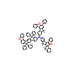 CC1(C)c2cc(N(c3ccc4c(c3)C(C)(C)c3c5c(c6oc7ccccc7c6c3-4)-c3ccccc3C5(C)C)c3ccc4c(c3)C(c3ccccc3)(c3ccccc3)c3cc5c(cc3-4)C(c3ccccc3)(c3ccccc3)c3ccc4oc6ccccc6c4c3-5)ccc2-c2c1cc(-c1ccccc1)c1oc3ccccc3c21